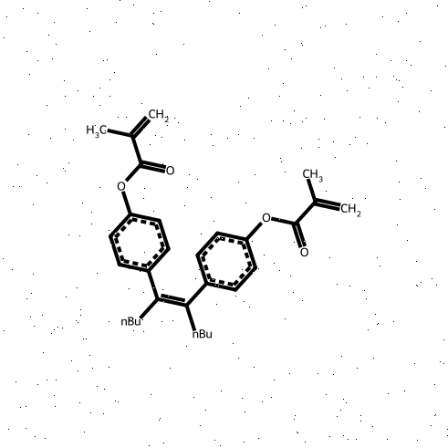 C=C(C)C(=O)Oc1ccc(C(CCCC)=C(CCCC)c2ccc(OC(=O)C(=C)C)cc2)cc1